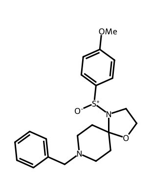 COc1ccc([S+]([O-])N2CCOC23CCN(Cc2ccccc2)CC3)cc1